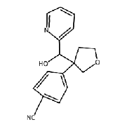 N#Cc1ccc(C2(C(O)c3ccccn3)CCOC2)cc1